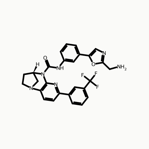 NCc1ncc(-c2cccc(NC(=O)N3c4nc(-c5cccc(C(F)(F)F)c5)ccc4N4CC[C@H]3C4)c2)o1